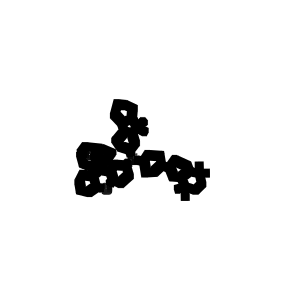 CC1(C)CCC(C)(C)c2cc(-c3ccc(N(c4ccc5c(c4)C(C)(C)c4ccccc4-5)c4ccc5c(c4)C4(c6ccccc6O5)C5CC6CC7CC4C75C6)cc3)ccc21